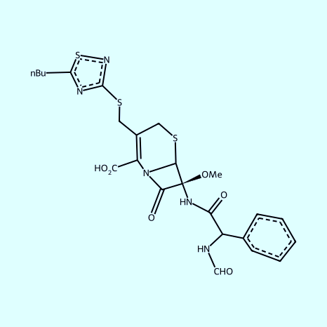 CCCCc1nc(SCC2=C(C(=O)O)N3C(=O)[C@](NC(=O)C(NC=O)c4ccccc4)(OC)C3SC2)ns1